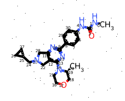 CNC(=O)Nc1ccc(-c2nc3c(c(N4CCOC[C@@H]4C)n2)CN(CC2CC2)C3)cc1